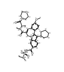 COc1ccc2c(c1)C=C(C(=O)N(C)[C@H](C)C(=O)N1CCOCC1)Cn1c-2c(C2CCCCC2)c2ccc(C(=O)NS(=O)(=O)N(C)C)cc21